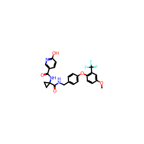 COc1ccc(Oc2ccc(CNC(=O)C3(NC(=O)c4ccc(O)nc4)CC3)cc2)c(C(F)(F)F)c1